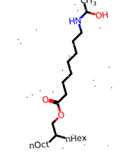 CCCCCCCCC(CCCCCC)COC(=O)CCCCCCCNC(C)O